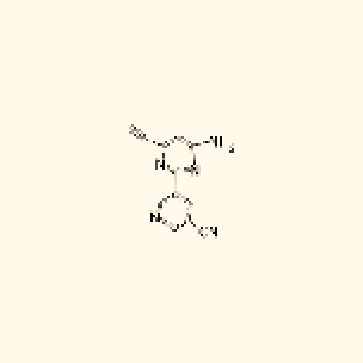 C#Cc1cc(N)nc(-c2cncc(C#N)c2)n1